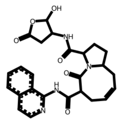 O=C1CC(NC(=O)C2CCC3C/C=C\CC(C(=O)Nc4nccc5ccccc45)C(=O)N32)C(O)O1